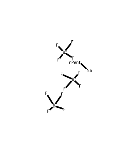 CCCC[CH2][Na].F[B-](F)(F)F.F[B-](F)(F)F.F[B-](F)(F)F